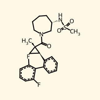 C[C@]1(C(=O)N2CCCC[C@H](NS(C)(=O)=O)C2)C[C@@H]1c1ccccc1-c1c(F)cccc1F